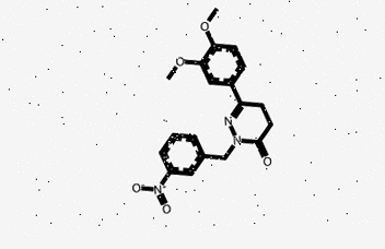 COc1ccc(C2=NN(Cc3cccc([N+](=O)[O-])c3)C(=O)CC2)cc1OC